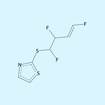 FC=CC(F)C(F)Sc1nccs1